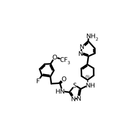 Nc1ccc(C2=CC[C@@H](Nc3nnc(NC(=O)Cc4cc(OC(F)(F)F)ccc4F)s3)CC2)nn1